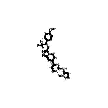 COc1ccc([C@@H](Cc2nnc3cc(-c4ccnc(Nc5ccnn5C)n4)ccn23)C(F)(F)F)cc1